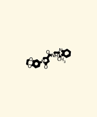 Cn1c(CNC(=O)C2CC(=O)N(c3ccc4c(c3)OCCO4)C2)nc2c1C=CCC2